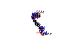 COC(=O)N[C@H](C(=O)N1CCC[C@H]1c1ncc(-c2ccc3nc(-c4ccc(-c5cnc([C@@H]6CCCN6C(=O)[C@H](NC(=O)OC)c6ccccc6)[nH]5)cc4)ccc3c2)[nH]1)[C@@H](C)O